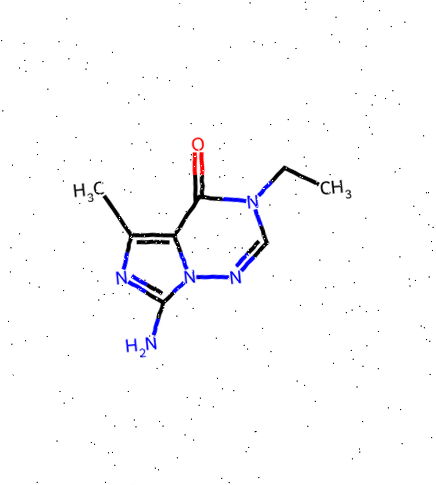 CCn1cnn2c(N)nc(C)c2c1=O